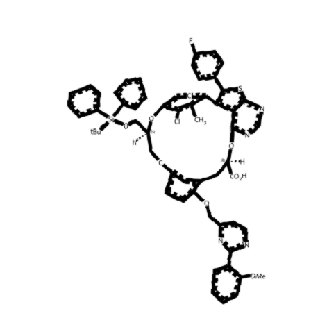 COc1ccccc1-c1nccc(COc2ccc3cc2C[C@H](C(=O)O)Oc2ncnc4sc(-c5ccc(F)cc5)c(c24)-c2ccc(c(Cl)c2C)O[C@H](CO[Si](c2ccccc2)(c2ccccc2)C(C)(C)C)CC3)n1